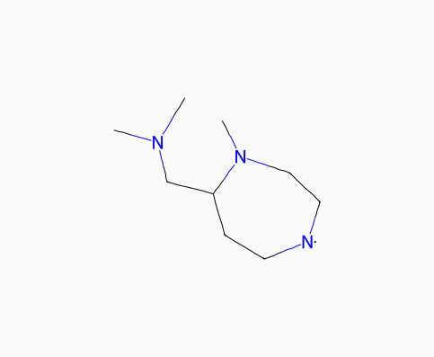 CN(C)CC1CC[N]CCN1C